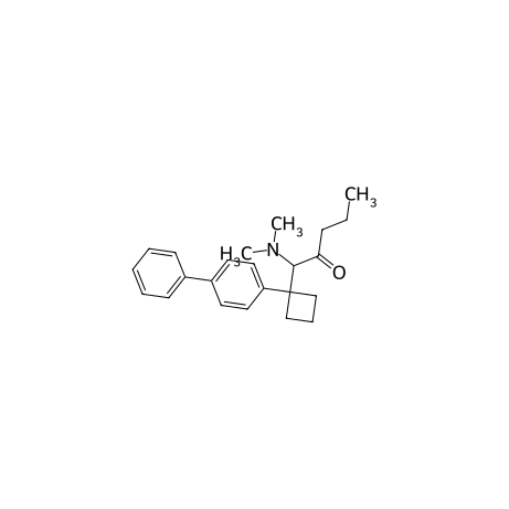 CCCC(=O)C(N(C)C)C1(c2ccc(-c3ccccc3)cc2)CCC1